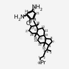 CC(C)CCCC(C)C1CCC2C3CCC4C(C)(C)C(Oc5ccc(N)cc5N)CCC4(C)C3CCC12C